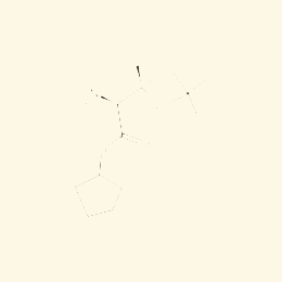 C[C@@H](OC(C)(C)C)[C@H](N)C(=O)OC1CCCC1